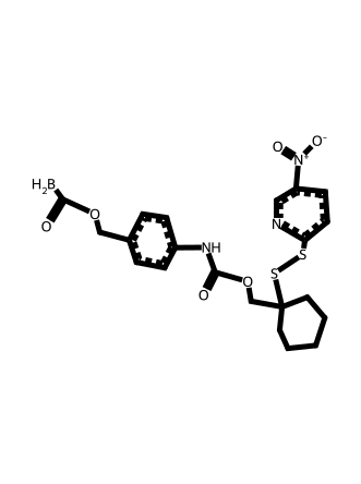 BC(=O)OCc1ccc(NC(=O)OCC2(SSc3ccc([N+](=O)[O-])cn3)CCCCC2)cc1